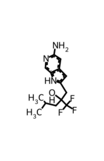 CC(C)CC(O)(Cc1cc2cc(N)ncc2[nH]1)C(F)(F)F